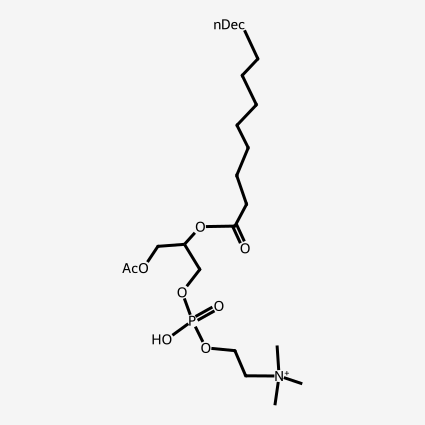 CCCCCCCCCCCCCCCCCC(=O)OC(COC(C)=O)COP(=O)(O)OCC[N+](C)(C)C